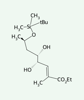 CCOC(=O)/C(C)=C/[C@H](O)[C@@H](O)C[C@@H](C)O[Si](C)(C)C(C)(C)C